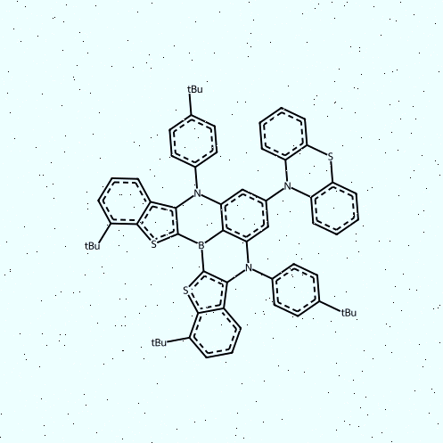 CC(C)(C)c1ccc(N2c3cc(N4c5ccccc5Sc5ccccc54)cc4c3B(c3sc5c(C(C)(C)C)cccc5c32)c2sc3c(C(C)(C)C)cccc3c2N4c2ccc(C(C)(C)C)cc2)cc1